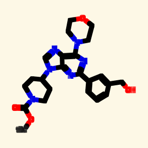 CC(C)(C)OC(=O)N1CCC(n2cnc3c(N4CCOCC4)nc(-c4cccc(CO)c4)nc32)CC1